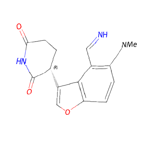 CNc1ccc2occ([C@H]3CCC(=O)NC3=O)c2c1C=N